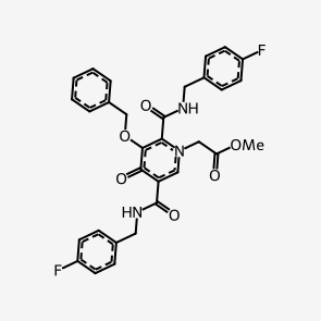 COC(=O)Cn1cc(C(=O)NCc2ccc(F)cc2)c(=O)c(OCc2ccccc2)c1C(=O)NCc1ccc(F)cc1